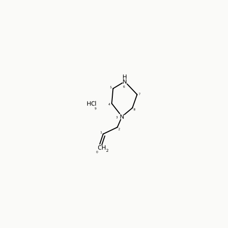 C=CCN1CCNCC1.Cl